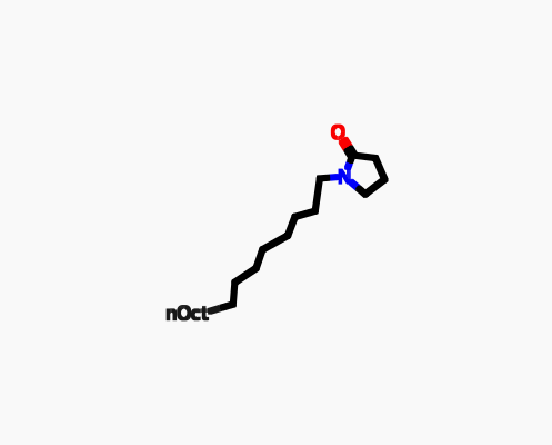 CCCCCCCCCCCCCCCCN1CCCC1=O